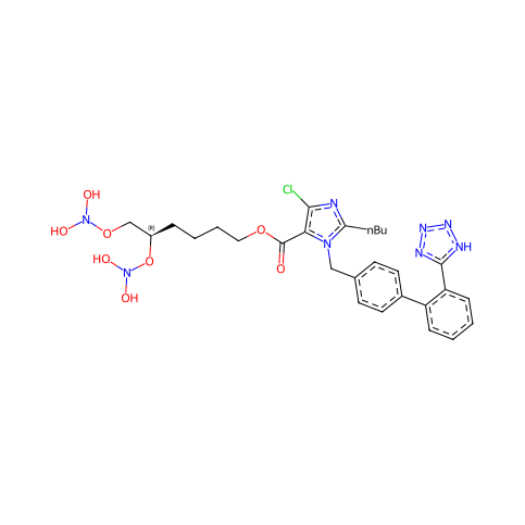 CCCCc1nc(Cl)c(C(=O)OCCCC[C@H](CON(O)O)ON(O)O)n1Cc1ccc(-c2ccccc2-c2nnn[nH]2)cc1